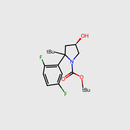 CC(C)(C)OC(=O)N1C[C@H](O)CC1(c1cc(F)ccc1F)C(C)(C)C